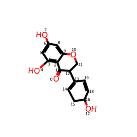 O=C1c2c(O)cc(O)cc2OCC1C1=CCC(O)C=C1